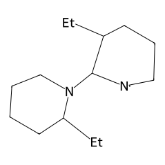 CCC1CCC[N]C1N1CCCCC1CC